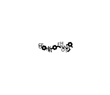 Cc1cccc(C)c1N1CCS/C1=N\C(=O)N/C=C(\F)c1ccc(-c2ncn(-c3ccc(OC(F)(F)F)cc3)n2)cc1